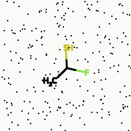 [CH2]C(F)S